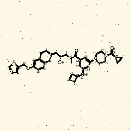 O=C(NC[C@H](O)CN1CCc2cc(OCc3cnco3)ccc2C1)c1cc(NC2CCC2)nc(N2CCN(C(=O)C3CC3)CC2)c1